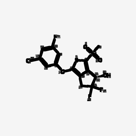 CS(=O)(=O)c1sc(Oc2cc(F)cc(Cl)c2)c2c1[C@H](O)C(F)(F)C2